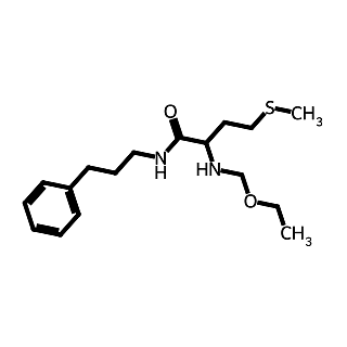 CCOCNC(CCSC)C(=O)NCCCc1ccccc1